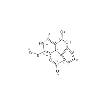 CC1=C(C(=O)O)C(c2ccccc2[N+](=O)[O-])N=C(CS)N1